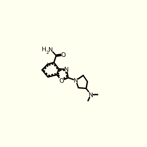 CN(C)C1CCN(c2nc3c(C(N)=O)[c]ccc3o2)C1